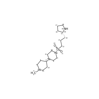 CN1CCC(N2CCN(S(=O)(=O)CCC[C@@H]3CCCN3)CC2)CC1